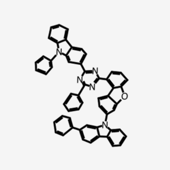 c1ccc(-c2ccc3c4ccccc4n(-c4ccc5c(c4)oc4cccc(-c6nc(-c7ccccc7)nc(-c7ccc8c9ccccc9n(-c9ccccc9)c8c7)n6)c45)c3c2)cc1